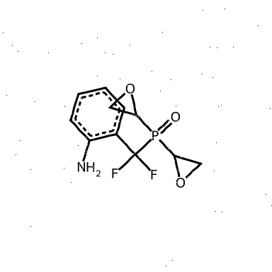 Nc1ccccc1C(F)(F)P(=O)(C1CO1)C1CO1